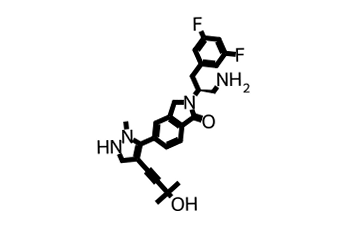 CN1NCC(C#CC(C)(C)O)=C1c1ccc2c(c1)CN([C@H](CN)Cc1cc(F)cc(F)c1)C2=O